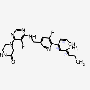 C\C=C/C(=C\C(C)=C\CC)c1ncc(CNc2ncnc(N3CCNC(=O)C3)c2F)cc1F